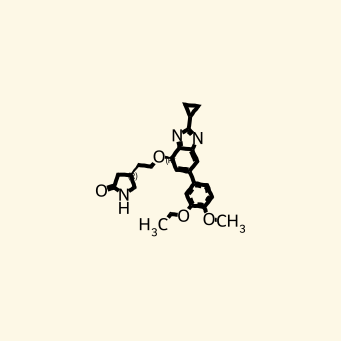 CCOc1cc(C2=C[C@@H](OCC[C@H]3CNC(=O)C3)C3=NC(C4CC4)=NC3=C2)ccc1OC